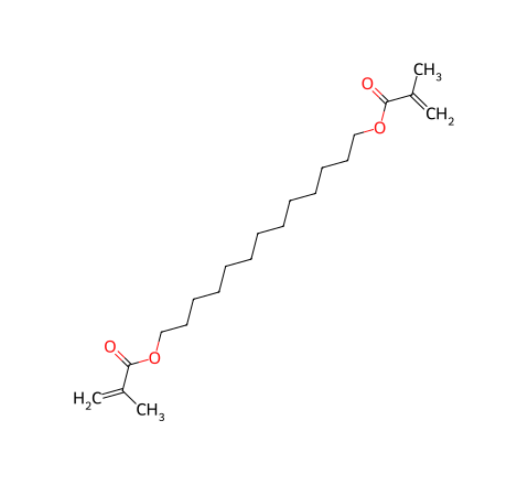 C=C(C)C(=O)OCCCCCCCCCCCCCOC(=O)C(=C)C